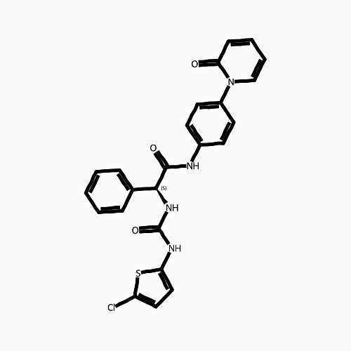 O=C(Nc1ccc(Cl)s1)N[C@H](C(=O)Nc1ccc(-n2ccccc2=O)cc1)c1ccccc1